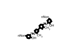 CCCCCCCCCc1ccc(O)c(N=Nc2ccc(-c3ccc(N=Nc4cc(CCCCCCCCC)ccc4O)c(C)c3)cc2C)c1